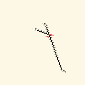 CCCCCCCCCCCCCCCCCCCCCCCCCCCC(O)C(O)C(CCCCCCCC)CCCCCCCCCC